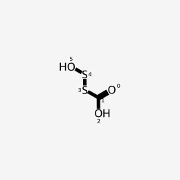 O=C(O)SSO